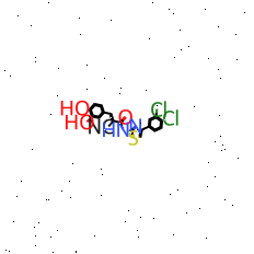 N#C/C(=C\c1ccc(O)c(O)c1)C(=O)Nc1nc(-c2ccc(Cl)c(Cl)c2)cs1